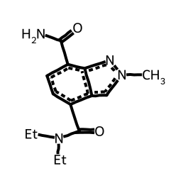 CCN(CC)C(=O)c1ccc(C(N)=O)c2nn(C)cc12